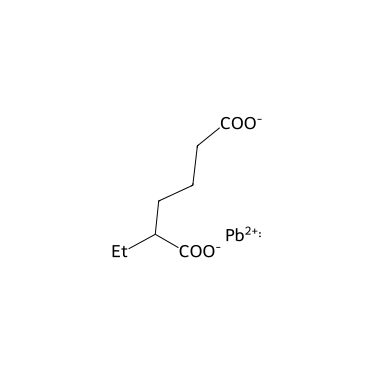 CCC(CCCC(=O)[O-])C(=O)[O-].[Pb+2]